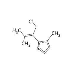 CC(C)=C(CCl)c1sccc1C